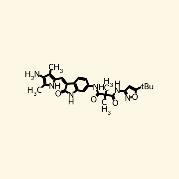 Cc1[nH]c(/C=C2\C(=O)Nc3cc(NC(=O)C(C)(C)C(=O)Nc4cc(C(C)(C)C)on4)ccc32)c(C)c1N